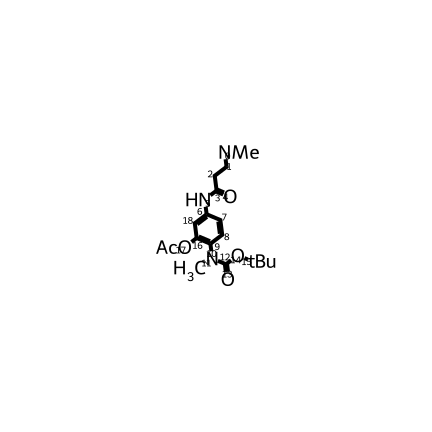 CNCCC(=O)Nc1ccc(N(C)C(=O)OC(C)(C)C)c(OC(C)=O)c1